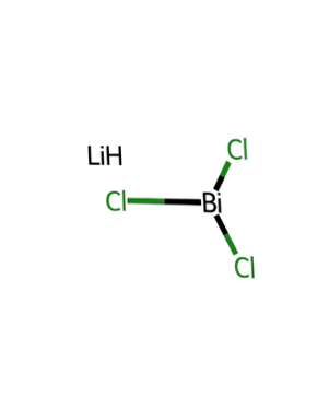 [Cl][Bi]([Cl])[Cl].[LiH]